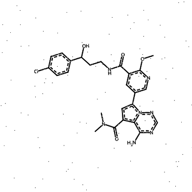 COc1ncc(-c2cc(C(=O)N(C)C)c3c(N)ncnn23)cc1C(=O)NCCC(O)c1ccc(Cl)cc1